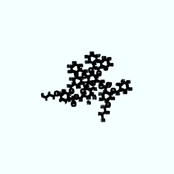 CCCCOc1ccc(C(=O)OCC2O[C@H](O[C@H]3OC(COC(=O)c4ccc(OCCCC)cc4OCc4ccccc4)[C@@H](OCc4ccccc4)[C@H](OCc4ccccc4)C3OCc3ccccc3)C(C)[C@@H](C)[C@@H]2C)c(OCc2ccccc2)c1